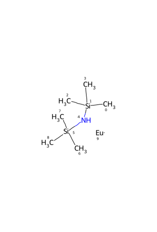 C[Si](C)(C)N[Si](C)(C)C.[Eu]